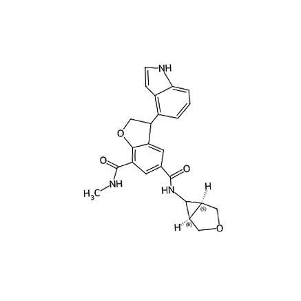 CNC(=O)c1cc(C(=O)NC2[C@H]3COC[C@@H]23)cc2c1OCC2c1cccc2[nH]ccc12